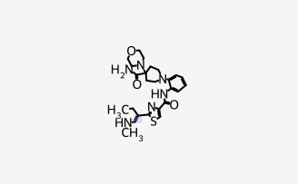 CC/C(=C\NC)c1nc(C(=O)Nc2ccccc2N2CCC(C(N)=O)(N3CCOCC3)CC2)cs1